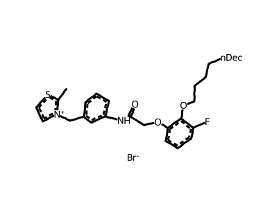 CCCCCCCCCCCCCCOc1c(F)cccc1OCC(=O)Nc1cccc(C[n+]2ccsc2C)c1.[Br-]